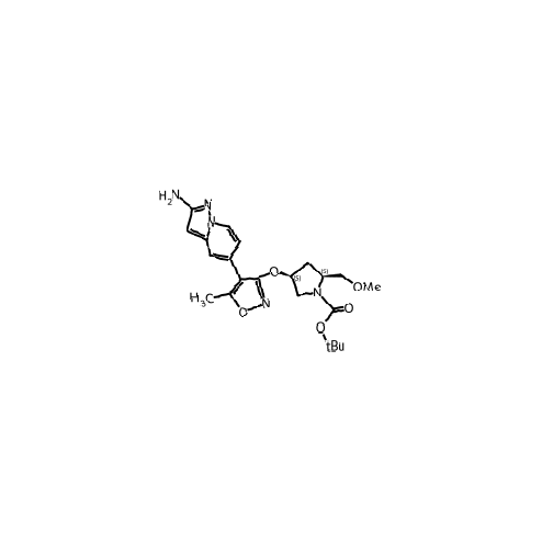 COC[C@@H]1C[C@H](Oc2noc(C)c2-c2ccn3nc(N)cc3c2)CN1C(=O)OC(C)(C)C